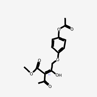 COC(=O)/C(C(C)=O)=C(/O)COc1ccc(OC(C)=O)cc1